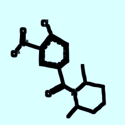 CC1CCCC(C)N1C(=O)c1ccc(Cl)c([N+](=O)[O-])c1